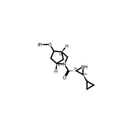 CC(C)OC1C[C@@H]2C[C@H]1CN2C(=O)[C@@H]1N[C@H]1C1CC1